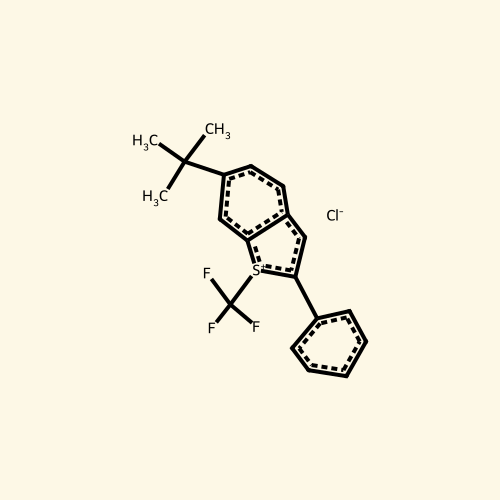 CC(C)(C)c1ccc2cc(-c3ccccc3)[s+](C(F)(F)F)c2c1.[Cl-]